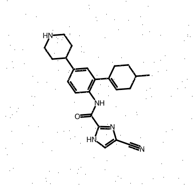 CC1CC=C(c2cc(C3CCNCC3)ccc2NC(=O)c2nc(C#N)c[nH]2)CC1